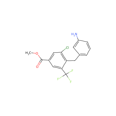 COC(=O)c1cc(Cl)c(Cc2cccc(N)c2)c(C(F)(F)F)c1